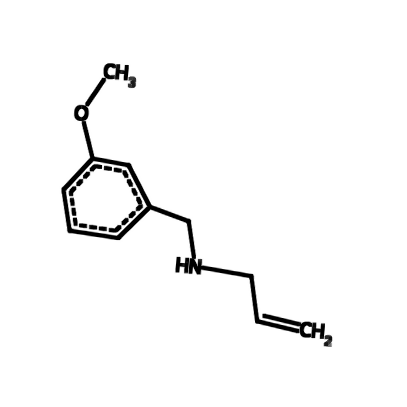 C=CCNCc1cccc(OC)c1